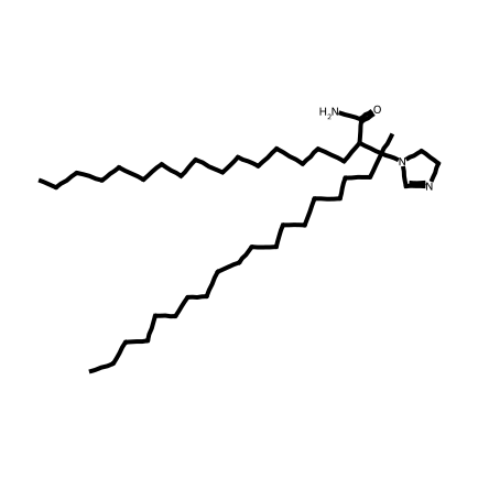 CCCCCCCCCCCCCCCCCCC(C)(C(CCCCCCCCCCCCCCCC)C(N)=O)N1C=NCC1